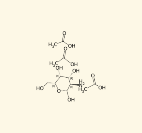 CC(=O)O.CC(=O)O.CC(=O)O.N[C@H]1C(O)O[C@H](CO)[C@H](O)[C@@H]1O